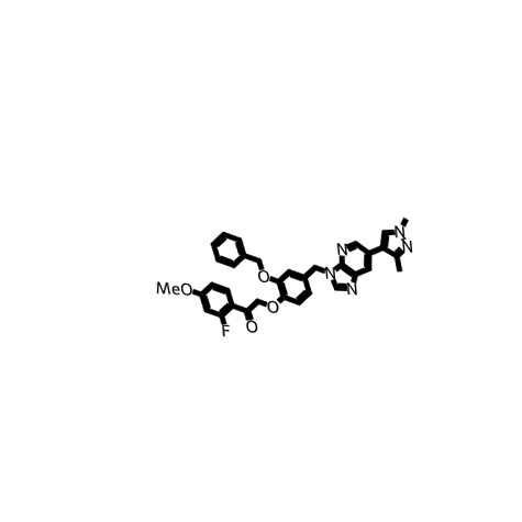 COc1ccc(C(=O)COc2ccc(Cn3cnc4cc(-c5cn(C)nc5C)cnc43)cc2OCc2ccccc2)c(F)c1